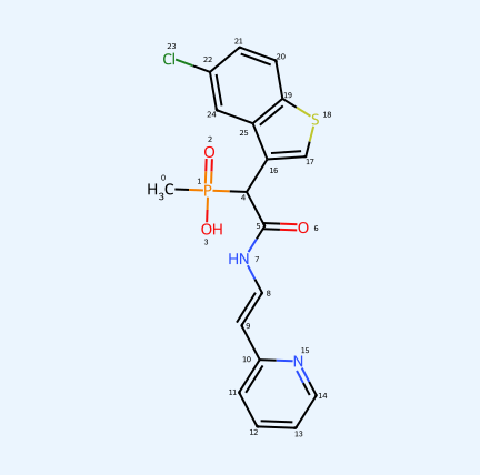 CP(=O)(O)C(C(=O)N/C=C/c1ccccn1)c1csc2ccc(Cl)cc12